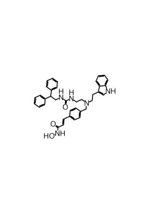 O=C(/C=C/c1ccc(CN(CCNC(=O)NCC(c2ccccc2)c2ccccc2)CCc2c[nH]c3ccccc23)cc1)NO